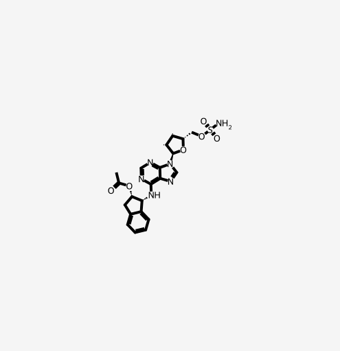 CC(=O)O[C@H]1Cc2ccccc2[C@H]1Nc1ncnc2c1ncn2[C@H]1[CH][CH][C@H](COS(N)(=O)=O)O1